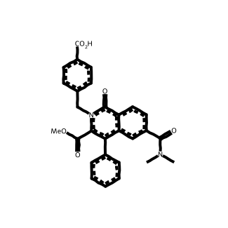 COC(=O)c1c(-c2ccccc2)c2cc(C(=O)N(C)C)ccc2c(=O)n1Cc1ccc(C(=O)O)cc1